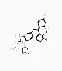 C/N=c1\[nH]c2cc(/C=C3\c4cccc(F)c4COC4C=C(F)C=CC34)ccc2n1[C@@H]1CN(C)C[C@H]1O